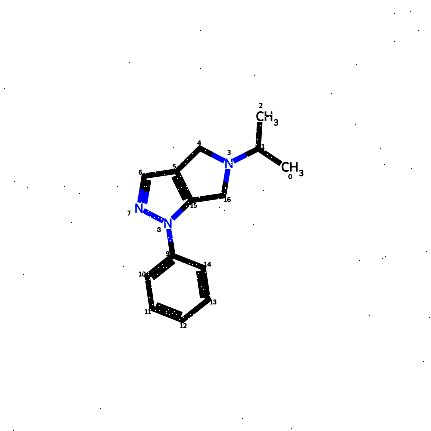 CC(C)N1Cc2cnn(-c3ccccc3)c2C1